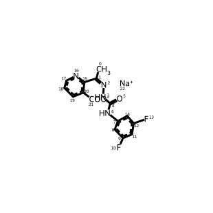 CC(=NNC(=O)Nc1cc(F)cc(F)c1)c1ncccc1C(=O)[O-].[Na+]